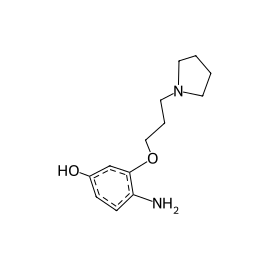 Nc1ccc(O)cc1OCCCN1CCCC1